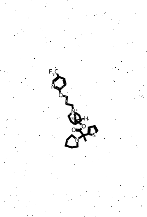 CC(C(=O)O[C@H]1C[N+]2(CCCOc3ccc(C(F)(F)F)cn3)CCC1CC2)(c1cccs1)N1CCCCC1